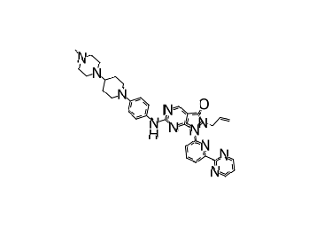 C=CCn1c(=O)c2cnc(Nc3ccc(N4CCC(N5CCN(C)CC5)CC4)cc3)nc2n1-c1cccc(-c2ncccn2)n1